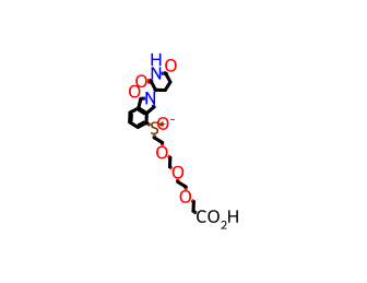 O=C(O)CCOCCOCCOCC[S+]([O-])c1cccc2c1CN(C1CCC(=O)NC1=O)C2=O